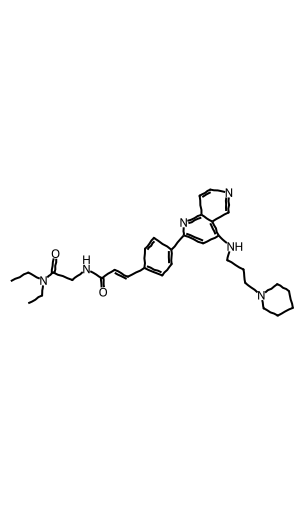 CCN(CC)C(=O)CNC(=O)C=Cc1ccc(-c2cc(NCCCN3CCCCC3)c3cnccc3n2)cc1